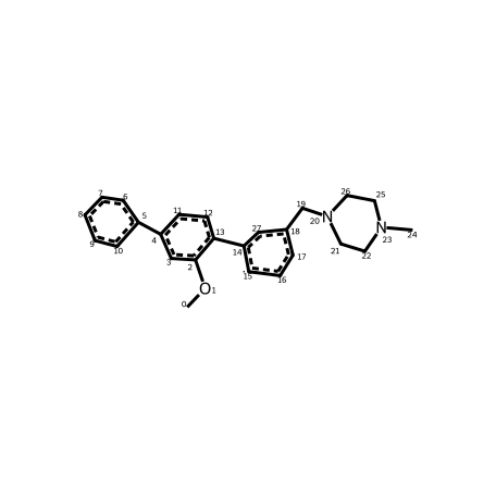 COc1cc(-c2ccccc2)ccc1-c1[c]ccc(CN2CCN(C)CC2)c1